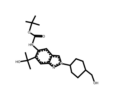 CC(C)(C)OC(=O)Nc1cc2cn(C3CCC(CO)CC3)nc2cc1C(C)(C)O